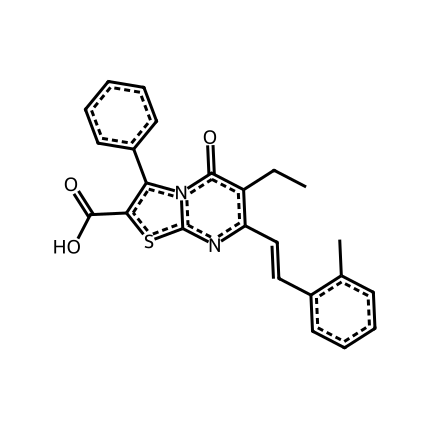 CCc1c(/C=C/c2ccccc2C)nc2sc(C(=O)O)c(-c3ccccc3)n2c1=O